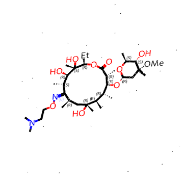 CC[C@H]1OC(=O)[C@H](C)[C@@H](O[C@H]2C[C@@](C)(OC)[C@@H](O)[C@H](C)O2)[C@H](C)[C@@H](C)[C@](C)(O)C[C@@H](C)/C(=N\OCCN(C)C)[C@H](C)[C@@H](O)[C@]1(C)O